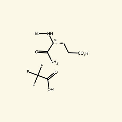 CCN[C@H](CCC(=O)O)C(N)=O.O=C(O)C(F)(F)F